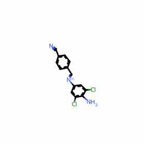 N#Cc1ccc(/C=N/c2cc(Cl)c(N)c(Cl)c2)cc1